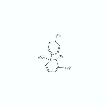 CC1C(C(=O)O)=CC=CC1(C(=O)O)c1ccc(N)cc1